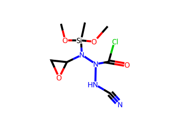 CO[Si](C)(OC)N(C1CO1)N(NC#N)C(=O)Cl